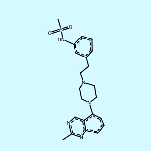 Cc1ncc2c(N3CCN(CCc4cccc(NS(C)(=O)=O)c4)CC3)cccc2n1